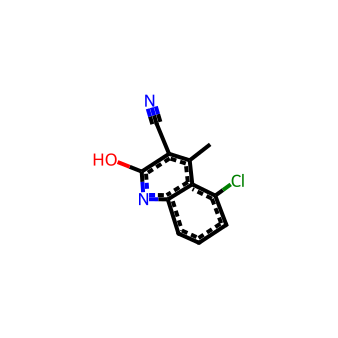 Cc1c(C#N)c(O)nc2cccc(Cl)c12